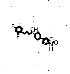 CN(CCCc1ccc(F)cc1F)C1CCC(c2ccc3[nH]c(=O)oc3c2)CC1